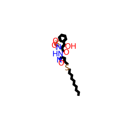 CCCCCCCCCCSCc1cc(NC(=O)C2=C(O)c3ccccc3S(=O)(=O)N2C)no1